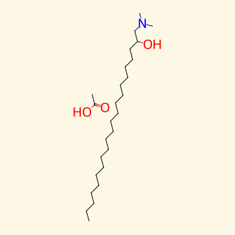 CC(=O)O.CCCCCCCCCCCCCCCCCCCCC(O)CN(C)C